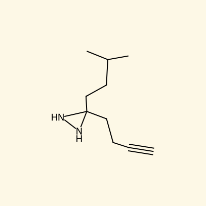 C#CCCC1(CCC(C)C)NN1